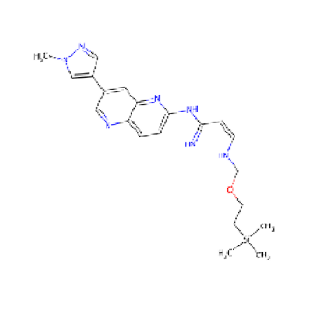 Cn1cc(-c2cnc3ccc(NC(=N)/C=C\NCOCC[Si](C)(C)C)nc3c2)cn1